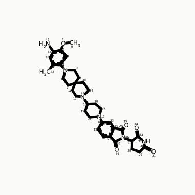 COc1cc(N2CCC3(CC2)CCN(C2CCN(c4ccc5c(c4)C(=O)N(C4CCC(=O)NC4=O)C5=O)CC2)CC3)c(C)cc1N